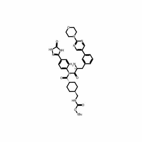 CC(C)(C)OC(=O)NC[C@H]1CC[C@H](C(=O)N(C(=O)[C@@H](N)Cc2cccc(-c3cnc(N4CCOCC4)nc3)c2)c2ccc(-c3n[nH]c(=O)[nH]3)cc2)CC1